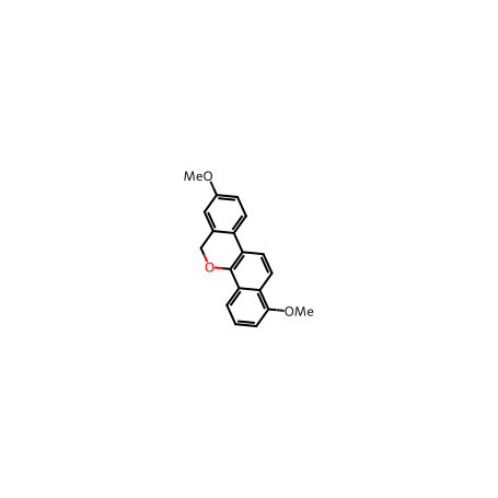 COc1ccc2c(c1)COc1c-2ccc2c(OC)cccc12